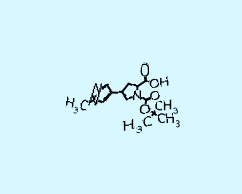 Cn1cc(C2CC(C(=O)O)N(C(=O)OC(C)(C)C)C2)cn1